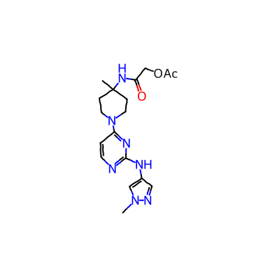 CC(=O)OCC(=O)NC1(C)CCN(c2ccnc(Nc3cnn(C)c3)n2)CC1